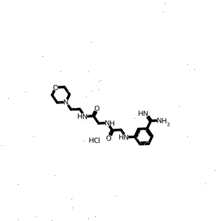 Cl.N=C(N)c1cccc(NCC(=O)NCC(=O)NCCN2CCOCC2)c1